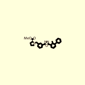 COC(=O)[C@@H]1CCCN1Cc1cccc(-c2nnc(-c3cccc(-c4ccccc4)c3C)o2)c1